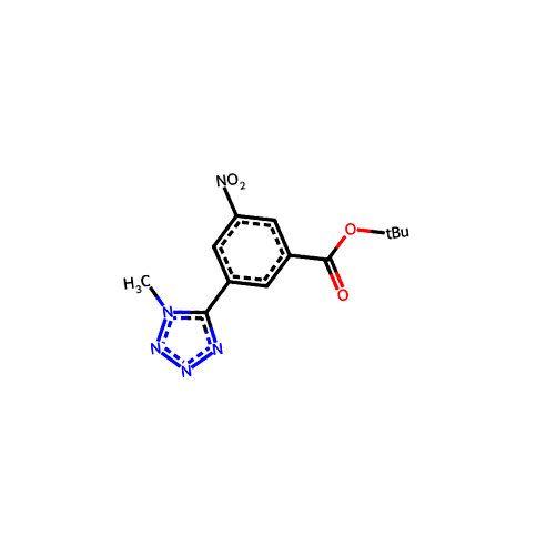 Cn1nnnc1-c1cc(C(=O)OC(C)(C)C)cc([N+](=O)[O-])c1